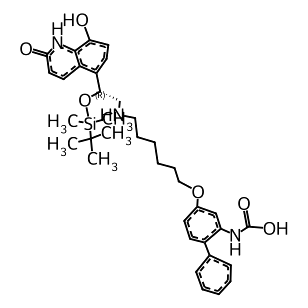 CC(C)(C)[Si](C)(C)O[C@@H](CNCCCCCCOc1ccc(-c2ccccc2)c(NC(=O)O)c1)c1ccc(O)c2[nH]c(=O)ccc12